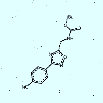 CC(C)(C)OC(=O)NCc1nc(-c2ccc(C#N)cc2)no1